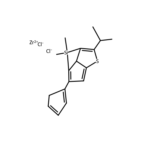 CC(C)C1=C2C3C(=CC(C4=CC=CC4)=C3[Si]2(C)C)S1.[Cl-].[Cl-].[Zr+2]